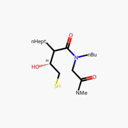 CCCCCCCC(C(=O)N(CCCC)CC(=O)NC)[C@@H](O)CS